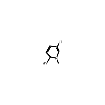 CC(C)C1C=CC(Cl)=CN1C